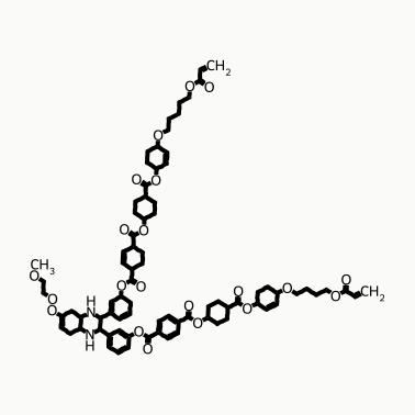 C=CC(=O)OCCCCCOC1C=CC(OC(=O)C2CCC(OC(=O)C3C=CC(C(=O)OC4C=C(C5NC6CC(OOCCOC)=CCC6NC5c5cccc(OC(=O)c6ccc(C(=O)OC7CCC(C(=O)OC8C=CC(OCCCCOC(=O)C=C)CC8)CC7)cc6)c5)C=CC4)CC3)CC2)CC1